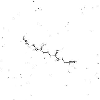 N#CCCOC(=O)CCCC(=O)OCCC#N